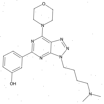 CN(C)CCCCn1nnc2c(N3CCOCC3)nc(-c3cccc(O)c3)nc21